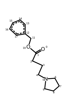 O=C(CCCN1CCCC1)OCc1ccccc1